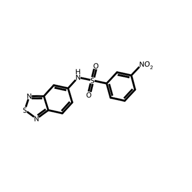 O=[N+]([O-])c1cccc(S(=O)(=O)Nc2ccc3nsnc3c2)c1